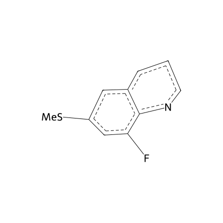 CSc1cc(F)c2ncccc2c1